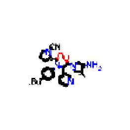 C[C@H]1CN(C(=O)C(c2cccnc2)N(C(=O)[C@H]2CCCN2C#N)c2ccc(C(C)(C)C)cc2)C[C@@H]1N